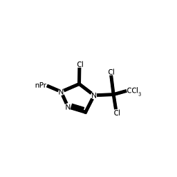 CCCN1N=CN(C(Cl)(Cl)C(Cl)(Cl)Cl)C1Cl